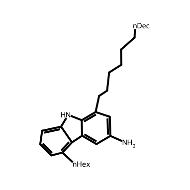 CCCCCCCCCCCCCCCCc1cc(N)cc2c1[nH]c1cccc(CCCCCC)c12